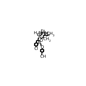 C#Cc1ccc(OCCn2c(=O)c(CN(CC(=C)/C=C(Br)\C=C/C)C(=O)CC(N)(N)CC)cc3ccc(Cl)cc32)cc1